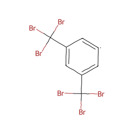 BrC(Br)(Br)c1c[c]cc(C(Br)(Br)Br)c1